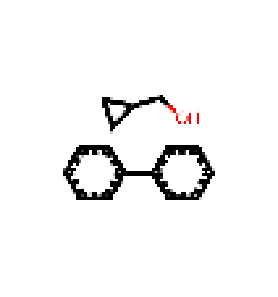 OCC1CC1.c1ccc(-c2ccccc2)cc1